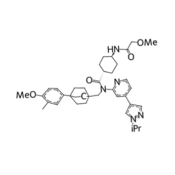 COCC(=O)N[C@H]1CC[C@H](C(=O)N(CC23CCC(c4ccc(OC)c(C)c4)(CC2)CC3)c2cc(-c3cnn(C(C)C)c3)ccn2)CC1